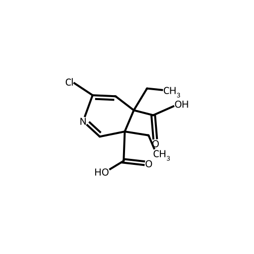 CCC1(C(=O)O)C=NC(Cl)=CC1(CC)C(=O)O